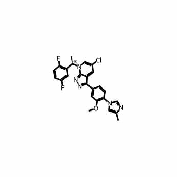 COc1cc(-c2nnc3n([C@H](C)c4cc(F)ccc4F)cc(Cl)cc2-3)ccc1-n1cnc(C)c1